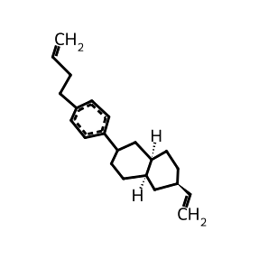 C=CCCc1ccc(C2CC[C@@H]3C[C@H](C=C)CC[C@@H]3C2)cc1